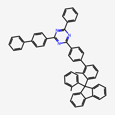 Cc1ccccc1C1(c2cccc(-c3ccc(-c4nc(-c5ccccc5)nc(-c5ccc(-c6ccccc6)cc5)n4)cc3)c2C)c2ccccc2-c2ccccc21